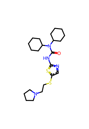 O=C(Nc1ncc(SCCN2CCCC2)s1)N(C1CCCCC1)C1CCCCC1